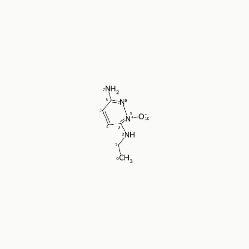 CCNc1ccc(N)n[n+]1[O-]